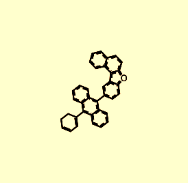 C1=CCCC(c2c3ccccc3c(-c3ccc4oc5ccc6ccccc6c5c4c3)c3ccccc23)=C1